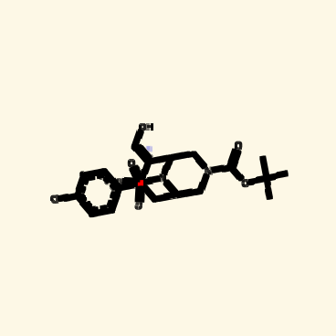 CC(C)(C)OC(=O)N1CC2CC(=O)/C(=C/O)C(C1)N2S(=O)(=O)c1ccc(Cl)cc1